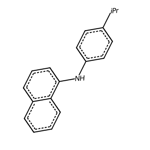 CC(C)c1ccc(Nc2cccc3ccccc23)cc1